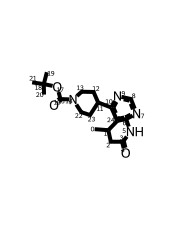 CC1CC(=O)Nc2ncnc(C3CCN(C(=O)OC(C)(C)C)CC3)c21